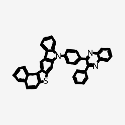 c1ccc(-c2nc3ccccc3nc2-c2ccc(-n3c4ccccc4c4cc5c(cc43)sc3ccc4ccccc4c35)cc2)cc1